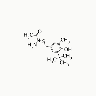 CC(=O)N(N)SCc1cc(C)c(O)c(C(C)(C)C)c1